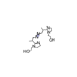 CC(C/N=N/CC(C)C1=NCCN1CCO)C1=NCCN1CCO